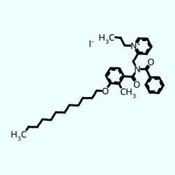 CCCCCCCCCCCCOc1cccc(C(=O)N(Cc2cccc[n+]2CCC)C(=O)c2ccccc2)c1C.[I-]